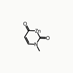 CN1C=C[C](=O)[Zn][C]1=O